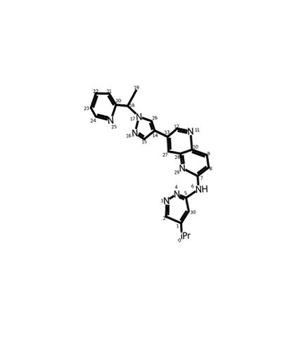 CC(C)c1cnnc(Nc2ccc3ncc(-c4cnn(C(C)c5ccccn5)c4)cc3n2)c1